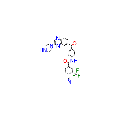 N#Cc1ccc(C(=O)Nc2ccc(C(=O)c3ccc4ncc(N5CCNCC5)nc4c3)cc2)cc1C(F)(F)F